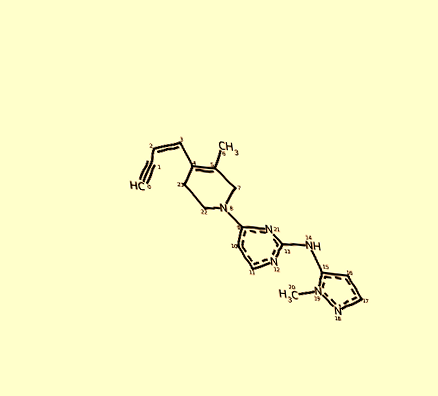 C#C/C=C\C1=C(C)CN(c2ccnc(Nc3ccnn3C)n2)CC1